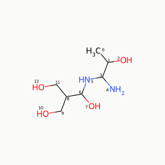 CC(O)C(N)NC(O)C(CO)CO